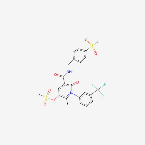 Cc1c(OS(C)(=O)=O)cc(C(=O)NCc2ccc(S(C)(=O)=O)cc2)c(=O)n1-c1cccc(C(F)(F)F)c1